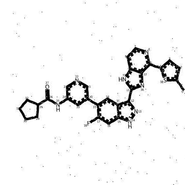 Cc1ccc(-c2nccc3[nH]c(-c4n[nH]c5cc(F)c(-c6cncc(NC(=O)C7CCCC7)c6)cc45)nc23)s1